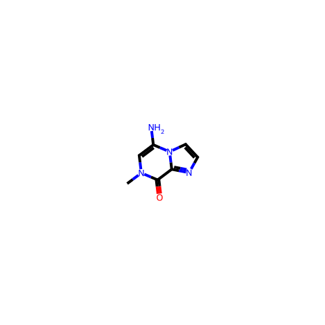 Cn1cc(N)n2ccnc2c1=O